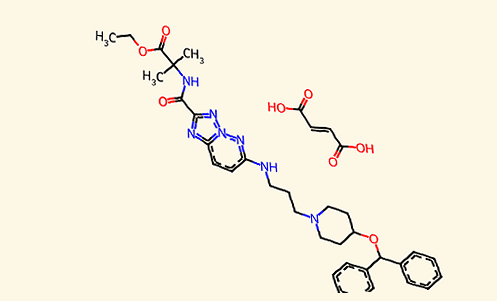 CCOC(=O)C(C)(C)NC(=O)c1nc2ccc(NCCCN3CCC(OC(c4ccccc4)c4ccccc4)CC3)nn2n1.O=C(O)C=CC(=O)O